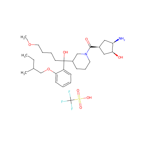 CCC(C)COc1ccccc1C(O)(CCCCOC)C1CCCN(C(=O)[C@H]2C[C@@H](N)[C@@H](O)C2)C1.O=S(=O)(O)C(F)(F)F